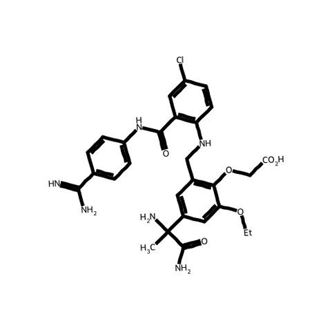 CCOc1cc(C(C)(N)C(N)=O)cc(CNc2ccc(Cl)cc2C(=O)Nc2ccc(C(=N)N)cc2)c1OCC(=O)O